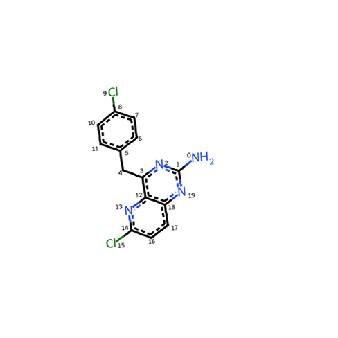 Nc1nc(Cc2ccc(Cl)cc2)c2nc(Cl)ccc2n1